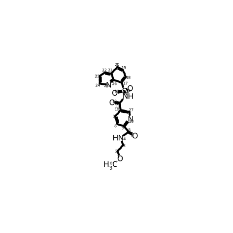 COCCNC(=O)c1ccc(C(=O)NS(=O)(=O)c2cccc3cccnc23)cn1